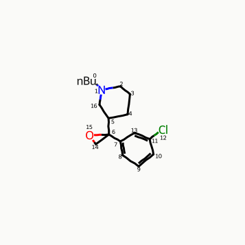 CCCCN1CCCC(C2(c3cccc(Cl)c3)CO2)C1